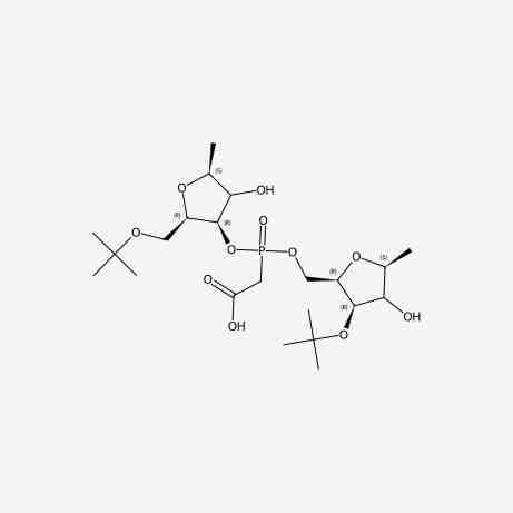 C[C@@H]1O[C@H](COP(=O)(CC(=O)O)O[C@@H]2C(O)[C@H](C)O[C@@H]2COC(C)(C)C)[C@H](OC(C)(C)C)C1O